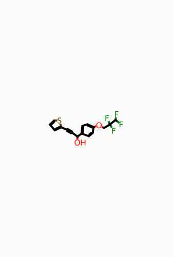 OC(C#Cc1cccs1)c1ccc(OCC(F)(F)C(F)F)cc1